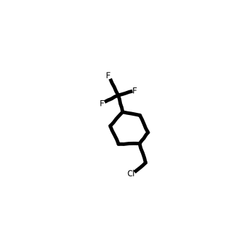 FC(F)(F)C1CCC(CCl)CC1